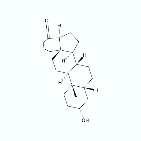 C[C@]12CC[C@@H](O)C[C@H]1CC[C@@H]1[C@@H]2CC[C@@]23CCCC(=O)[C@H]2CC[C@@H]13